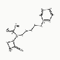 O=C1NCC1N(CCCCCc1ccccc1)C(=O)O